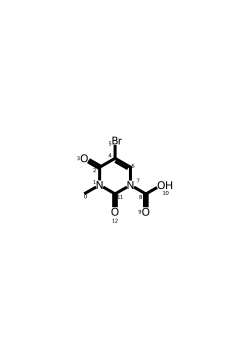 Cn1c(=O)c(Br)cn(C(=O)O)c1=O